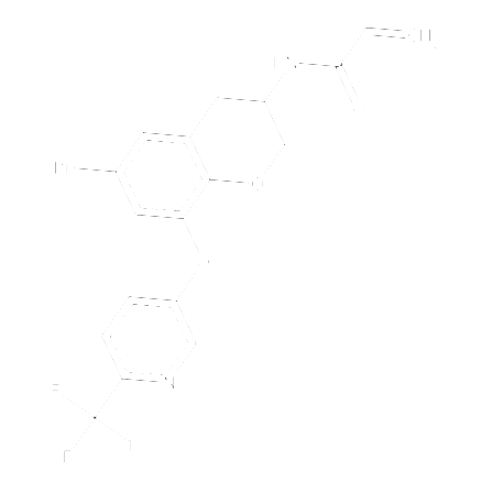 C=CC(=O)NC1COc2c(cc(Br)cc2Oc2ccc(C(F)(F)F)nc2)C1